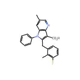 Cc1cnc2c(C(=O)O)c(Cc3cccc(F)c3C)n(-c3ccccc3)c2c1